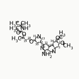 COc1cc2ncc3c(N)nc(-c4cncc(OCCC(C)OC(=O)NC(C)(C)C)c4)cc3c2cc1OC